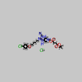 CC(C)(C)OC(=O)CCC(=O)OC[n+]1ccc(N/C(=N\CCCCCCOc2ccc(Cl)cc2)NC#N)cc1.[Cl-]